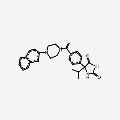 CC(C)C1(c2ccc(C(=O)N3CCN(c4ccc5ccccc5c4)CC3)cc2)NC(=O)NC1=O